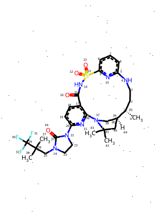 C[C@H]1CCNc2cccc(n2)S(=O)(=O)NC(=O)c2ccc(N3CCN(CC(C)(C)C(F)(F)F)C3=O)nc2N2C[C@@H]1CC2(C)C